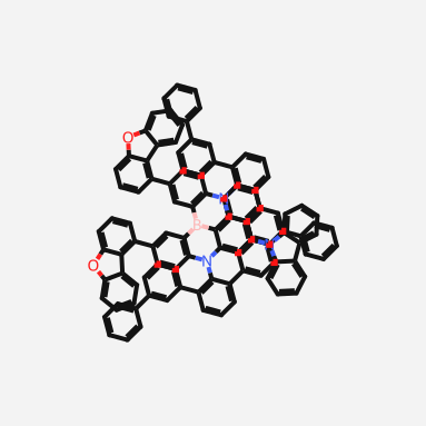 c1ccc(-c2cccc(-c3cccc(-c4cccc(-c5ccccc5)c4)c3N3c4ccc(-c5cccc6oc7ccccc7c56)cc4B4c5cc(-c6cccc7oc8ccccc8c67)ccc5N(c5c(-c6cccc(-c7ccccc7)c6)cccc5-c5cccc(-c6ccccc6)c5)c5cc(-n6c7ccccc7c7ccccc76)cc3c54)c2)cc1